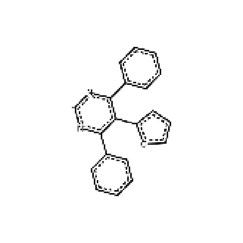 [c]1nc(-c2ccccc2)c(-c2ccco2)c(-c2ccccc2)n1